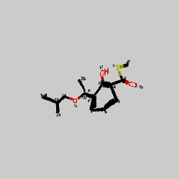 CSC(=O)c1cccc([C@H](C)OCC(C)C)c1O